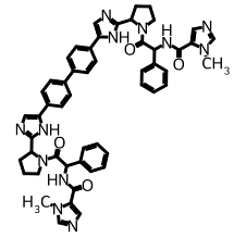 Cn1cncc1C(=O)NC(C(=O)N1CCCC1c1ncc(-c2ccc(-c3ccc(-c4cnc(C5CCCN5C(=O)C(NC(=O)c5cncn5C)c5ccccc5)[nH]4)cc3)cc2)[nH]1)c1ccccc1